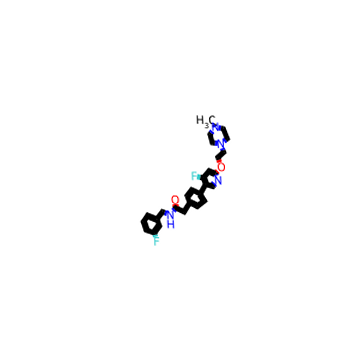 CN1CCN(CCOc2cc(F)c(-c3ccc(CC(=O)NCc4cccc(F)c4)cc3)cn2)CC1